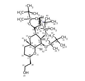 CC(C)(C)[Si](C)(C)OC(/C=C/I)[C@@H]1O[C@H]2CC[C@H](CCO)O[C@@H]2[C@H](O[Si](C)(C)C(C)(C)C)[C@@H]1O[Si](C)(C)C(C)(C)C